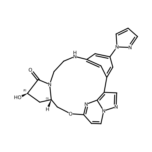 O=C1[C@H](O)C[C@H]2COc3ccn4ncc(c4n3)-c3cc(cc(-n4cccn4)c3)NCCN12